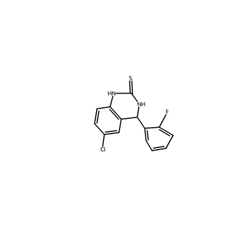 Fc1ccccc1C1NC(=S)Nc2ccc(Cl)cc21